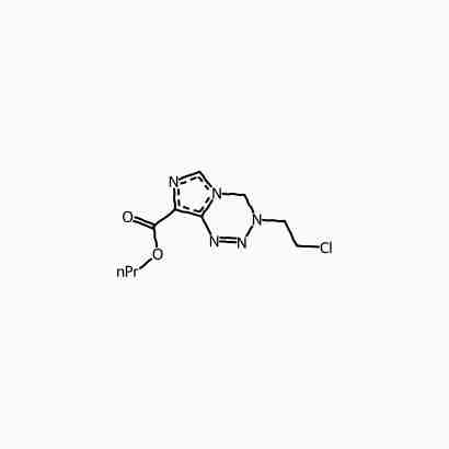 CCCOC(=O)c1ncn2c1N=NN(CCCl)C2